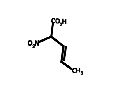 CC=CC(C(=O)O)[N+](=O)[O-]